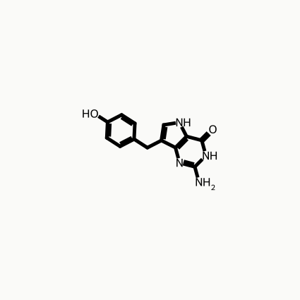 Nc1nc2c(Cc3ccc(O)cc3)c[nH]c2c(=O)[nH]1